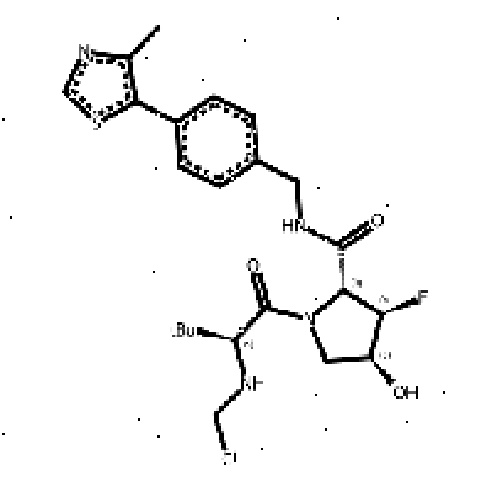 Cc1ncsc1-c1ccc(CNC(=O)[C@@H]2[C@@H](F)[C@@H](O)CN2C(=O)[C@@H](NCCl)C(C)(C)C)cc1